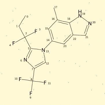 CCC(F)(F)c1nc(C(F)(F)F)cn1-c1cc(C)c2[nH]ncc2c1